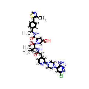 Cc1ncsc1-c1ccc([C@H](C)NC(=O)[C@@H]2C[C@@H](O)CN2C(=O)[C@@H](NC(=O)Cc2ccnc(N3CCN(c4cc(Cl)nnc4N)CC3)c2)C(C)(C)C)cc1